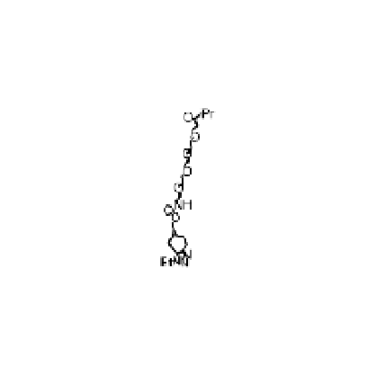 CCn1nnc2c1CCC1C(CC2)C1COC(=O)NCCOCCOCCOCCOCCC(=O)C(C)C